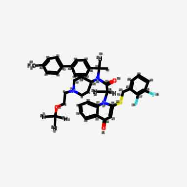 [2H]C([2H])([2H])OCCN1CCC(N(C(=O)C([2H])([2H])n2c(SCc3cccc(F)c3F)cc(=O)c3ccccc32)C([2H])(C)c2ccc(-c3ccc(C(F)(F)F)cc3)cc2)CC1